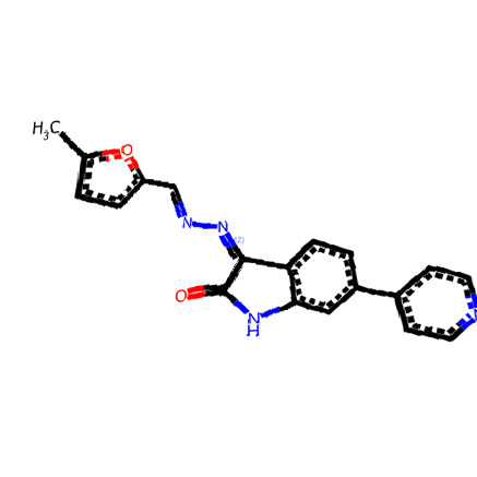 Cc1ccc(C=N/N=C2\C(=O)Nc3cc(-c4ccncc4)ccc32)o1